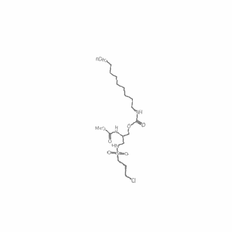 CCCCCCCCCCCCCCCCCCNC(=O)OCC(CNS(=O)(=O)CCCCl)NC(=O)OC